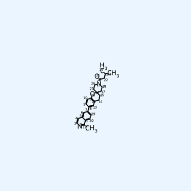 Cc1nccc2cc(-c3ccc4c(c3)CCC3(CCN(C(=O)CC(C)C)CC3)O4)ccc12